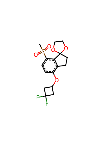 CS(=O)(=O)c1ccc(OC2CC(F)(F)C2)c2c1C1(CC2)OCCO1